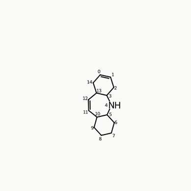 C1=CCC2NC3CCCCC3C=CC2C1